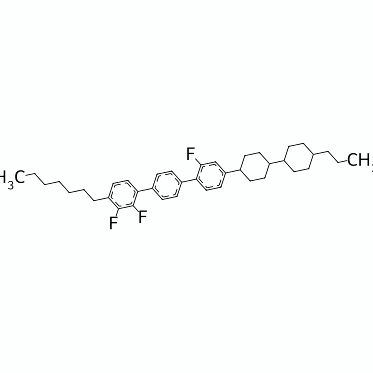 CCCCCCCc1ccc(-c2ccc(-c3ccc(C4CCC(C5CCC(CCC)CC5)CC4)cc3F)cc2)c(F)c1F